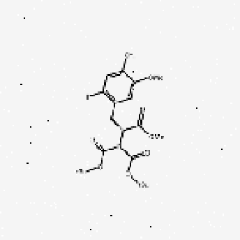 COC(=O)[C@H](Cc1cc(OC)c(C)cc1I)N(C(=O)OC(C)(C)C)C(=O)OC(C)(C)C